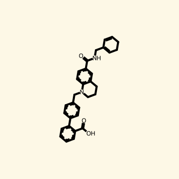 O=C(NCC1=CCCC=C1)c1ccc2c(c1)CCCN2Cc1ccc(-c2ccccc2C(=O)O)cc1